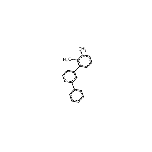 Cc1cccc(-c2cccc(-c3ccccc3)c2)c1C